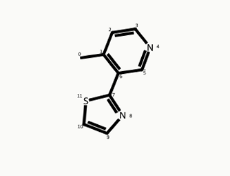 Cc1ccn[c]c1-c1nccs1